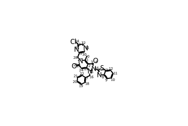 Cc1c2c(=O)n(-c3nc4ccccc4s3)n(Cc3ccccc3)c2cc(=O)n1Cc1cncc(Cl)n1